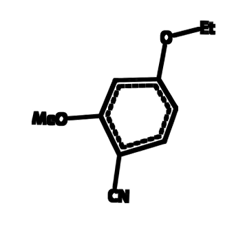 CCOc1ccc(C#N)c(OC)c1